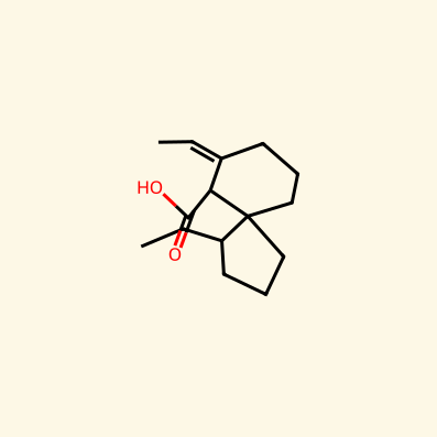 C/C=C1/CCCC2(CCCC2CC)C1C(=O)O